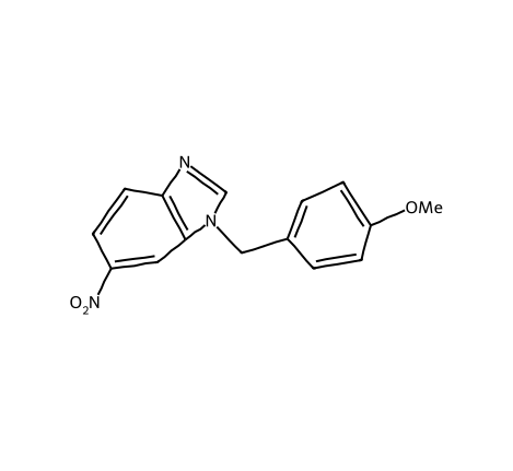 COc1ccc(Cn2cnc3ccc([N+](=O)[O-])cc32)cc1